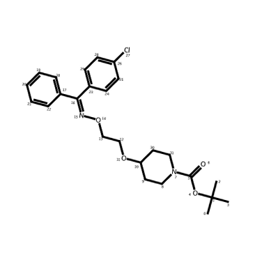 CC(C)(C)OC(=O)N1CCC(OCCON=C(c2ccccc2)c2ccc(Cl)cc2)CC1